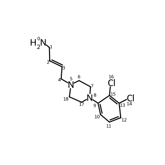 NC/C=C/CN1CCN(c2cccc(Cl)c2Cl)CC1